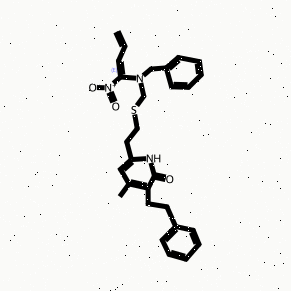 C=C/C=C(\N(CSCCc1cc(C)c(CCc2ccccc2)c(=O)[nH]1)Cc1ccccc1)[N+](=O)[O-]